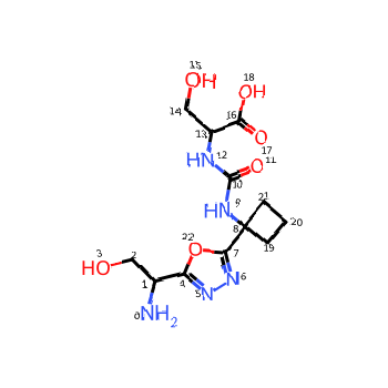 NC(CO)c1nnc(C2(NC(=O)NC(CO)C(=O)O)CCC2)o1